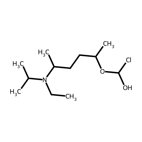 CCN(C(C)C)C(C)CCC(C)OC(O)Cl